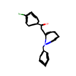 O=C(CC1CCCN1Cc1ccccc1)c1ccc(Br)cc1